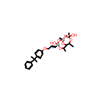 CC1O[Si](C)(O)O[Si]2(C)OC1C(C)O[Si](O)(/C=C/COc1ccc(C(C)(C)c3ccccc3)cc1)O2